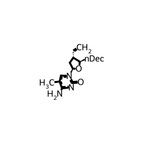 C=C[C@H]1C[C@H](n2cc(C)c(N)nc2=O)O[C@@H]1CCCCCCCCCC